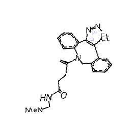 C=C(CCC(=O)NCNC)N1Cc2ccccc2/C(CC)=C(/N=N\C)c2ccccc21